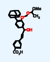 COC(C)OCOc1cc(C(O)C#Cc2ccc(C(=O)O)cc2)ccc1C12CC3CC(CC(C3)C1)C2